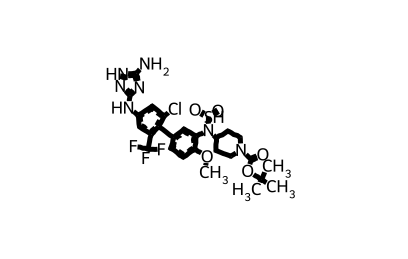 COc1ccc(-c2c(Cl)cc(Nc3n[nH]c(N)n3)cc2C(F)(F)F)cc1N(C1CCN(C(=O)OC(C)(C)C)CC1)[SH](=O)=O